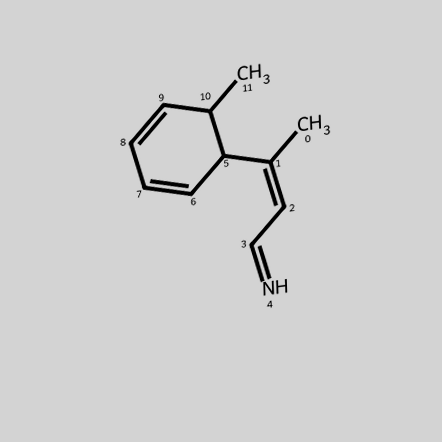 C/C(=C/C=N)C1C=CC=CC1C